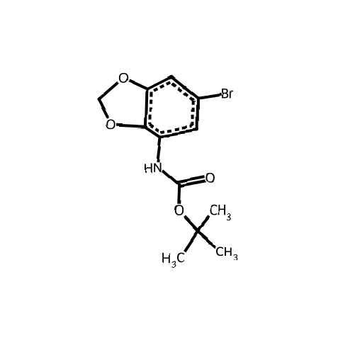 CC(C)(C)OC(=O)Nc1cc(Br)cc2c1OCO2